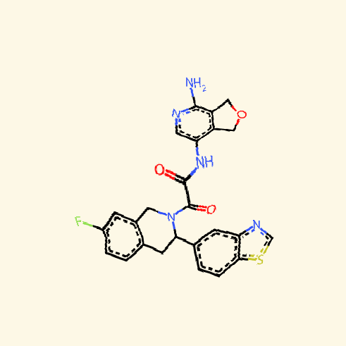 Nc1ncc(NC(=O)C(=O)N2Cc3cc(F)ccc3CC2c2ccc3scnc3c2)c2c1COC2